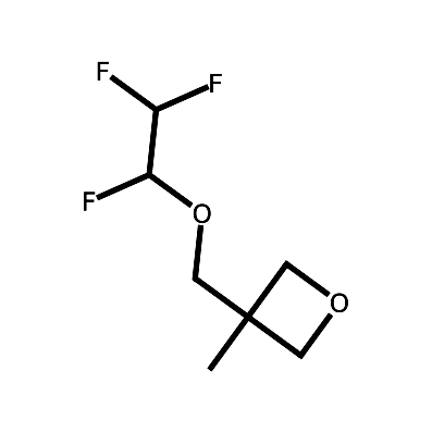 CC1(COC(F)C(F)F)COC1